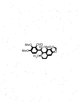 COc1ccc(C(O)C2c3c(cc4c(c3OC)OCO4)CCN2C)c(C=O)c1OC